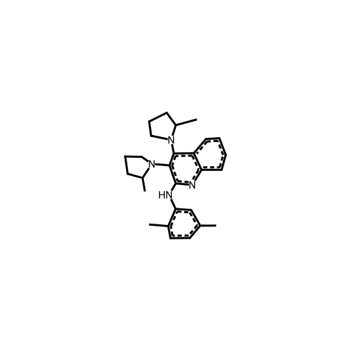 Cc1ccc(C)c(Nc2nc3ccccc3c(N3CCCC3C)c2N2CCCC2C)c1